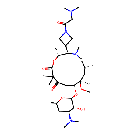 CO[C@]1(C)C[C@@H](C)CN(C)[C@H](C2CN(C(=O)CN(C)C)C2)[C@@H](C)OC(=O)C(C)(C)C(=O)C[C@H]1O[C@@H]1O[C@H](C)C[C@H](N(C)C)[C@H]1O